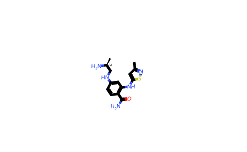 Cc1cc(Nc2cc(NC[C@H](C)N)ccc2C(N)=O)sn1